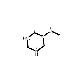 CON1CNCNC1